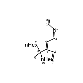 C=C/N=C\C=C(/C=C)C(C)(CCCCCC)CCCCCC